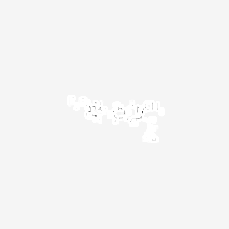 CN(Cc1ccc(-c2noc(C(F)(F)F)n2)s1)C(=O)CC1CC1